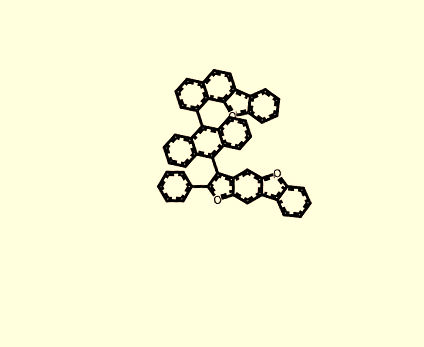 c1ccc(-c2oc3cc4c(cc3c2-c2c3ccccc3c(-c3cccc5ccc6c7ccccc7oc6c35)c3ccccc23)oc2ccccc24)cc1